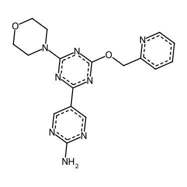 Nc1ncc(-c2nc(OCc3ccccn3)nc(N3CCOCC3)n2)cn1